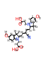 COC1=CC2C(C=C1)[N+](CCC(=O)O)=C(/C=C/C(C#N)=C/C=C1/N(CCC(=O)O)c3ccc(OC)cc3C1(C)C)C2(C)C